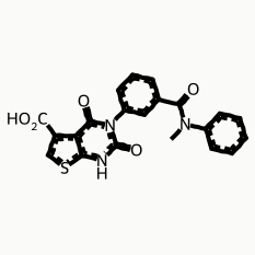 CN(C(=O)c1cccc(-n2c(=O)[nH]c3scc(C(=O)O)c3c2=O)c1)c1ccccc1